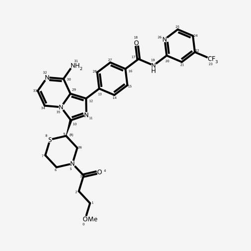 COCCC(=O)N1CCS[C@@H](c2nc(-c3ccc(C(=O)Nc4cc(C(F)(F)F)ccn4)cc3)c3c(N)nccn23)C1